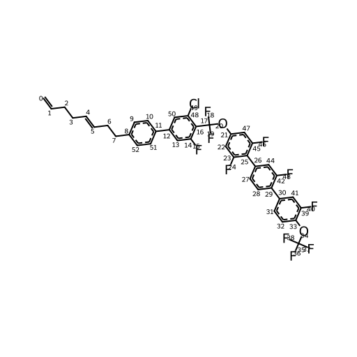 C=CCC/C=C/CCc1ccc(-c2cc(F)c(C(F)(F)Oc3cc(F)c(-c4ccc(-c5ccc(OC(F)(F)F)c(F)c5)c(F)c4)c(F)c3)c(Cl)c2)cc1